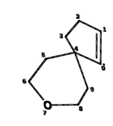 [C]1=CCCC12CCOCC2